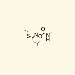 CCSC(CC(C)C)=NOC(=O)NC